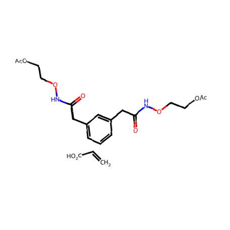 C=CC(=O)O.CC(=O)OCCONC(=O)Cc1cccc(CC(=O)NOCCOC(C)=O)c1